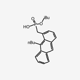 CCCCc1c2ccccc2cc2cccc(CP(=O)(O)OC(C)CC)c12